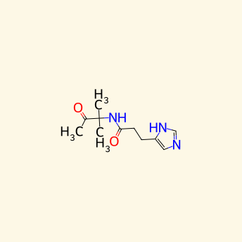 CC(=O)C(C)(C)NC(=O)CCc1cnc[nH]1